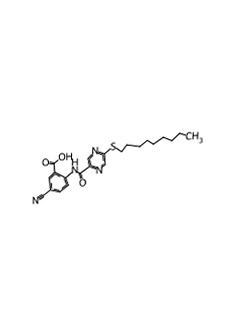 CCCCCCCCCSc1cnc(C(=O)Nc2ccc(C#N)cc2C(=O)O)cn1